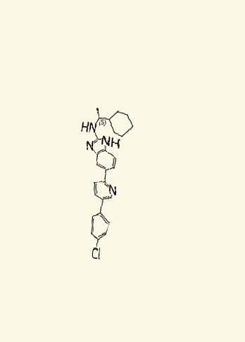 C[C@H](Nc1nc2cc(-c3ccc(-c4ccc(Cl)cc4)cn3)ccc2[nH]1)C1CCCCC1